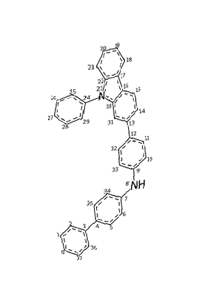 c1ccc(-c2ccc(Nc3ccc(-c4ccc5c6ccccc6n(-c6ccccc6)c5c4)cc3)cc2)cc1